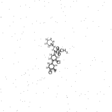 CS(=O)(=O)N(CCN1CCCCC1)c1ccc(-c2ccc(Cl)c(F)c2)c(Cl)c1